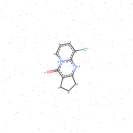 O=c1c2c(nc3c(Cl)cccn13)CCC2